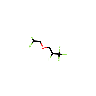 FC(F)COCC(F)C(F)(F)F